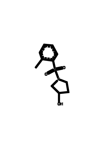 Cc1ccccc1S(=O)(=O)N1CCC(O)C1